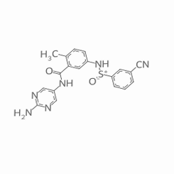 Cc1ccc(N[S@@+]([O-])c2cccc(C#N)c2)cc1C(=O)Nc1cnc(N)nc1